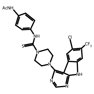 CC(=O)Nc1ccc(NC(=S)N2CCN(c3ncnc4[nH]c5cc(C(F)(F)F)c(Cl)cc5c34)CC2)cc1